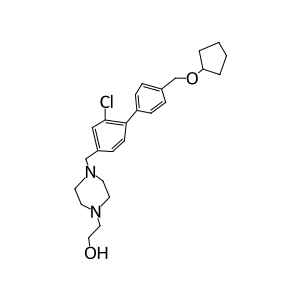 OCCN1CCN(Cc2ccc(-c3ccc(COC4CCCC4)cc3)c(Cl)c2)CC1